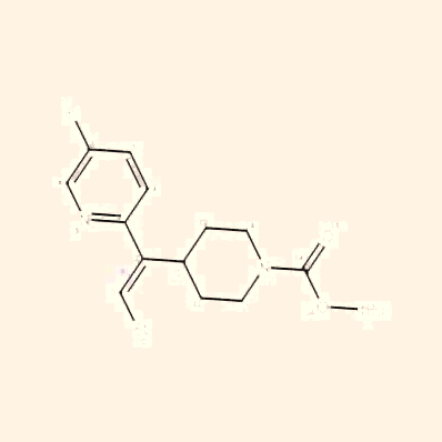 CC/C=C(/c1ccc(F)cn1)C1CCN(C(=O)OC(C)(C)C)CC1